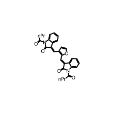 CCCC(=O)N1C(=O)/C(=C/c2ccoc2/C=C2/C(=O)N(C(=O)CCC)c3ccccc32)c2ccccc21